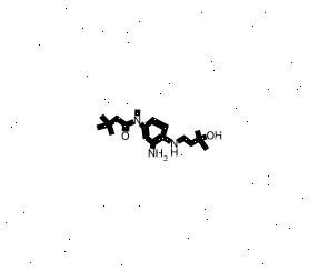 CN(C(=O)CC(C)(C)C)c1ccc(NCCC(C)(C)O)c(N)c1